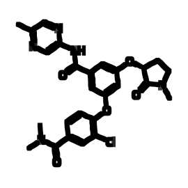 Cc1cnc(NC(=O)c2cc(Oc3ccc(C(=O)N(C)C)cc3Cl)cc(O[C@H]3CCN(C)C3=O)c2)cn1